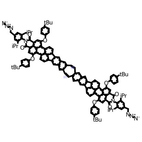 CC(C)c1cc(CN=[N+]=[N-])cc(C(C)C)c1N1C(=O)c2cc(Oc3ccc(C(C)(C)C)cc3)c3c4ccc5c6c(ccc(c7c(Oc8ccc(C(C)(C)C)cc8)cc(c2c37)C1=O)c64)-c1cc2cc3c(cc2cc1-5)/C=C\c1cc2cc4c(cc2cc1/C=C\3)-c1ccc2c3c(Oc5ccc(C(C)(C)C)cc5)cc5c6c(cc(Oc7ccc(C(C)(C)C)cc7)c(c7ccc-4c1c72)c63)C(=O)N(c1c(C(C)C)cc(CN=[N+]=[N-])cc1C(C)C)C5=O